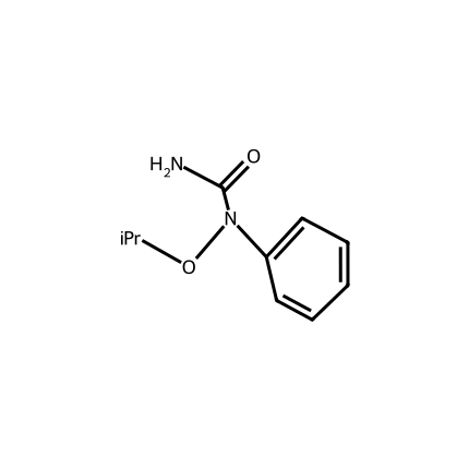 CC(C)ON(C(N)=O)c1ccccc1